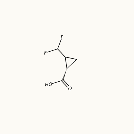 O=C(O)[C@H]1CC1C(F)F